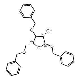 O[C@H]1C(OCc2ccccc2)[C@@H](COCc2ccccc2)O[C@@H]1OCc1ccccc1